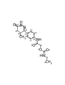 CCNC(=O)OCC(=O)Nc1ccc(C2=NNC(=O)CC2C)cc1